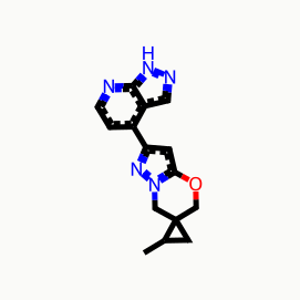 CC1CC12COc1cc(-c3ccnc4[nH]ncc34)nn1C2